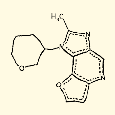 Cc1nc2cnc3ccoc3c2n1C1CCCOC1